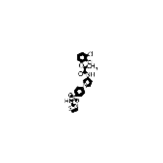 CC(Oc1cccc(Cl)c1Cl)C(=O)N[C@H]1CCN(c2ccc(S(=O)(=O)Nc3nccs3)cc2)C1